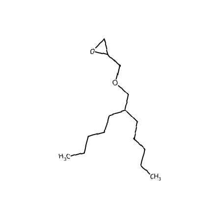 CCCCCC(CCCCC)COCC1CO1